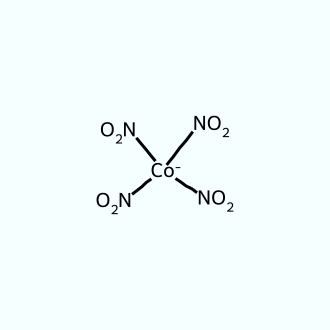 O=[N+]([O-])[Co-]([N+](=O)[O-])([N+](=O)[O-])[N+](=O)[O-]